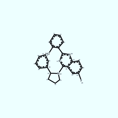 Oc1ccccc1-c1nc(N2CCCC2c2ccccc2)c2cc(F)ccc2n1